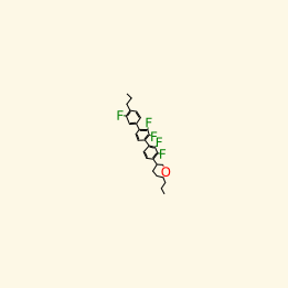 CCCc1ccc(-c2ccc(-c3ccc(C4CCC(CCC)OC4)c(F)c3F)c(F)c2F)cc1F